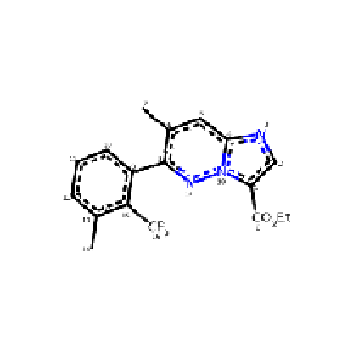 CCOC(=O)c1cnc2cc(C)c(-c3cccc(C)c3C(F)(F)F)nn12